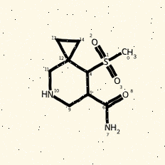 CS(=O)(=O)C1C(C(N)=O)CNCC12CC2